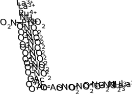 CC(=O)[O-].CC(=O)[O-].CC(=O)[O-].CC(=O)[O-].N.N.O=[N+]([O-])[O-].O=[N+]([O-])[O-].O=[N+]([O-])[O-].O=[N+]([O-])[O-].O=[N+]([O-])[O-].O=[N+]([O-])[O-].O=[N+]([O-])[O-].O=[N+]([O-])[O-].O=[N+]([O-])[O-].O=[N+]([O-])[O-].O=[N+]([O-])[O-].O=[N+]([O-])[O-].O=[N+]([O-])[O-].O=[N+]([O-])[O-].O=[N+]([O-])[Pt+2][N+](=O)[O-].[La+3].[La+3].[La+3].[La+3].[Ru+4]